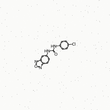 O=C(Nc1ccc(Cl)cc1)Nc1ccc2nonc2c1